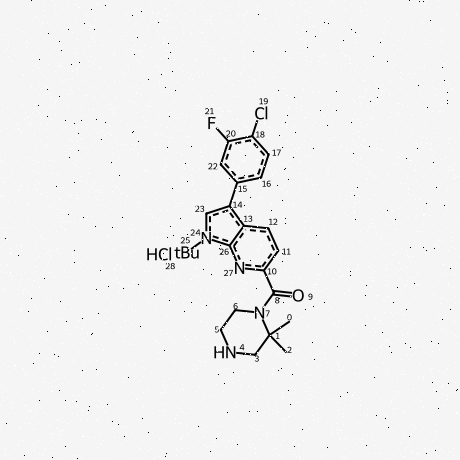 CC1(C)CNCCN1C(=O)c1ccc2c(-c3ccc(Cl)c(F)c3)cn(C(C)(C)C)c2n1.Cl